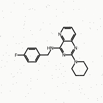 Fc1ccc(CNc2nc(N3CCCCC3)nc3cccnc23)cc1